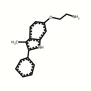 Cc1c(-c2ccccc2)[nH]c2cc(OCCN)ccc12